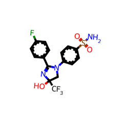 NS(=O)(=O)c1ccc(N2CC(O)(C(F)(F)F)N=C2c2ccc(F)cc2)cc1